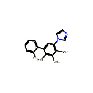 CNc1c(-c2ccccc2C#N)cc(-n2ccnc2)c(SC)c1OC